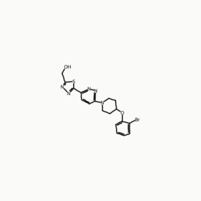 OCc1nnc(-c2ccc(N3CCC(Oc4ccccc4Br)CC3)nn2)s1